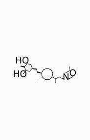 C=C1[C@H](O)CC(=C/C=C2\CCCC[C@@H]([C@H](C)CCN3CCO[C@H](C)C3)CC[C@@H]2C)C[C@H]1O